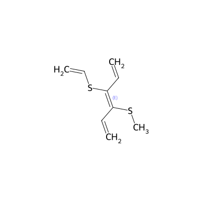 C=CS/C(C=C)=C(\C=C)SC